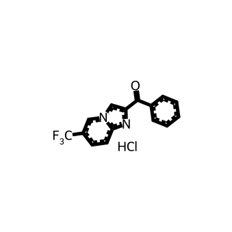 Cl.O=C(c1ccccc1)c1cn2cc(C(F)(F)F)ccc2n1